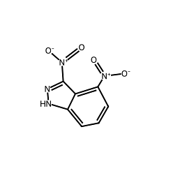 O=[N+]([O-])c1cccc2[nH]nc([N+](=O)[O-])c12